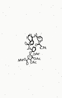 COC(=O)[C@H]1O[C@@H](Oc2ccccc2N(C)C(=O)n2ccc3c(N(C)[C@H]4CN(C(=O)CC#N)CC[C@H]4C)ncnc32)[C@H](OC(C)=O)[C@@H](OC(C)=O)[C@@H]1OC(C)=O